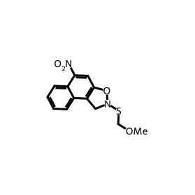 COCSN1Cc2c(cc([N+](=O)[O-])c3ccccc23)O1